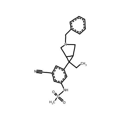 CCC1(c2cc(C#N)cc(NS(C)(=O)=O)c2)C2CN(Cc3ccccc3)CC21